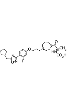 C[C@@H](NC(=O)O)C(=O)N1CCCN(CCCOc2ccc(-c3noc(CC4CCCC4)n3)c(F)c2)CC1